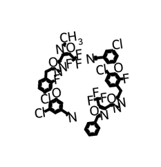 Cc1nc(-c2nnc(Cc3ccc(Cl)c(Oc4cc(Cl)cc(C#N)c4)c3F)o2)c(C(F)(F)F)o1.N#Cc1cc(Cl)cc(Oc2c(Cl)ccc(Cc3nnc(-c4nc(-c5ccccc5)oc4C(F)(F)F)o3)c2F)c1